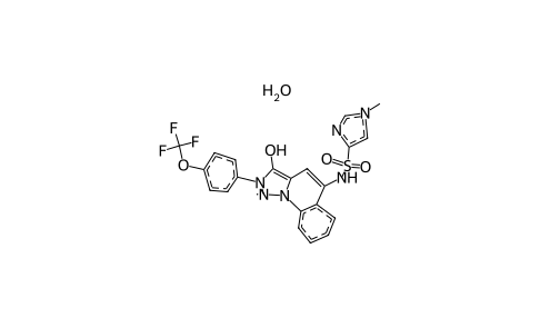 Cn1cnc(S(=O)(=O)NC2=CC3=C(O)N(c4ccc(OC(F)(F)F)cc4)[N]N3c3ccccc32)c1.O